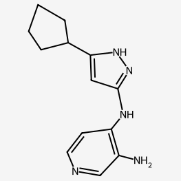 Nc1cnccc1Nc1cc(C2CCCC2)[nH]n1